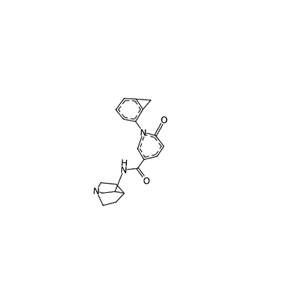 O=C(NC1CN2CCC1CC2)c1ccc(=O)n(-c2cccc3c2C3)c1